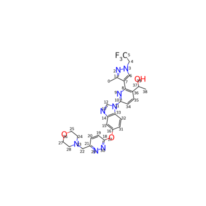 Cc1nn(CC(F)(F)F)cc1-c1nc(-n2cnc3cc(Oc4ccc(CN5CCOCC5)nn4)ccc32)ccc1C(C)O